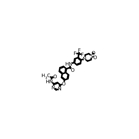 CC(=O)Nc1cc(Oc2ccc3c(C(=O)Nc4ccc(N5CCS(=O)(=O)CC5)c(C(F)(F)F)c4)cccc3c2)ncn1